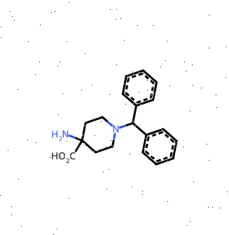 NC1(C(=O)O)CCN(C(c2ccccc2)c2ccccc2)CC1